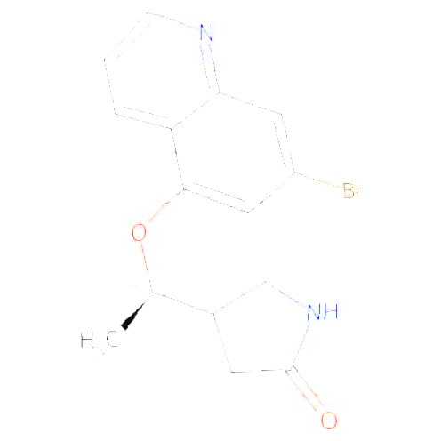 C[C@@H](Oc1cc(Br)cc2ncccc12)C1CNC(=O)C1